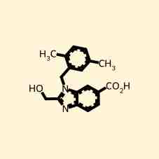 Cc1ccc(C)c(Cn2c(CO)nc3ccc(C(=O)O)cc32)c1